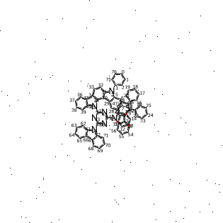 c1ccc(-n2c3cc([Si](c4ccccc4)(c4ccccc4)c4ccccc4)ccc3c3c2ccc2c4ccccc4n(-c4nc(-n5c6ccccc6c6ccccc65)nc(-n5c6ccccc6c6ccccc65)n4)c23)cc1